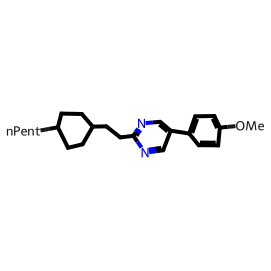 CCCCCC1CCC(CCc2ncc(-c3ccc(OC)cc3)cn2)CC1